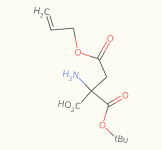 C=CCOC(=O)CC(N)(C(=O)O)C(=O)OC(C)(C)C